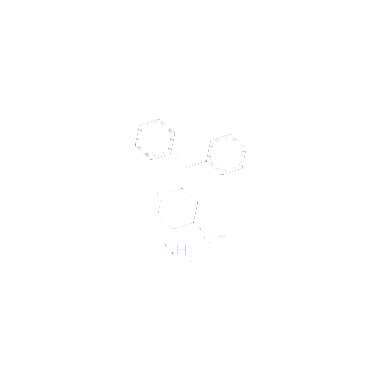 N[C@@H]1CO[C@H](C(c2ccccc2)c2ccccc2)C[C@H]1O